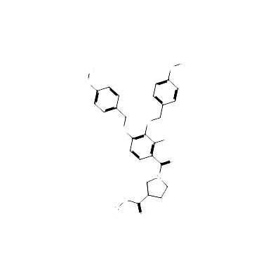 COc1ccc(COc2ccc(C(=O)N3CCC(C(=O)NN)C3)c(Cl)c2OCc2ccc(OC)cc2)cc1